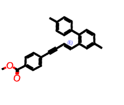 COC(=O)c1ccc(C#C/C=C/c2cc(C)ccc2-c2ccc(C)cc2)cc1